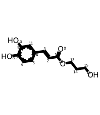 O=C(C=Cc1ccc(O)c(O)c1)OCCCO